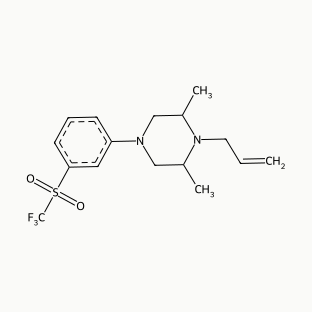 C=CCN1C(C)CN(c2cccc(S(=O)(=O)C(F)(F)F)c2)CC1C